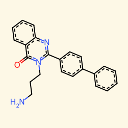 NCCCn1c(-c2ccc(-c3ccccc3)cc2)nc2ccccc2c1=O